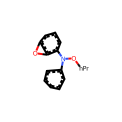 CCCON(c1ccccc1)c1cccc2c1O2